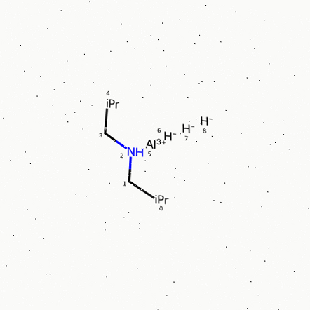 CC(C)CNCC(C)C.[Al+3].[H-].[H-].[H-]